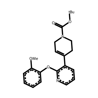 COc1ccccc1Oc1ncccc1C1=CCN(C(=O)OC(C)(C)C)CC1